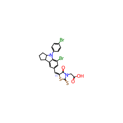 O=C(O)CN1C(=O)/C(=C\c2cc(Br)c3c(c2)C2CCCC2N3c2ccc(Br)cc2)SC1=S